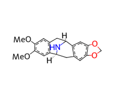 COc1cc2c(cc1OC)[C@@H]1Cc3cc4c(cc3[C@H](C2)N1)OCO4